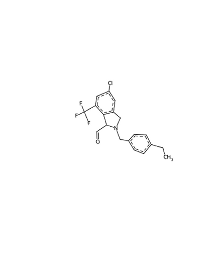 CCc1ccc(CN2Cc3cc(Cl)cc(C(F)(F)F)c3C2C=O)cc1